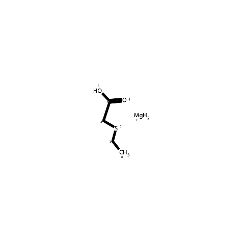 CCSCC(=O)O.[MgH2]